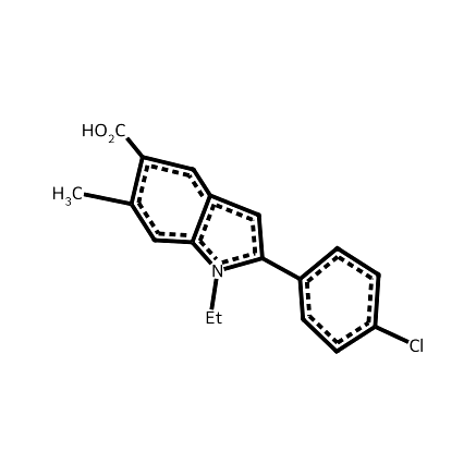 CCn1c(-c2ccc(Cl)cc2)cc2cc(C(=O)O)c(C)cc21